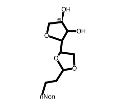 CCCCCCCCCCCC1OCC(C2OC[C@@H](O)C2O)O1